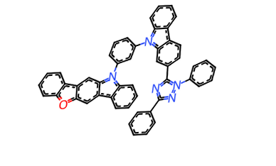 c1ccc(-c2nc(-c3ccc4c5ccccc5n(-c5cccc(-n6c7ccccc7c7cc8oc9ccccc9c8cc76)c5)c4c3)n(-c3ccccc3)n2)cc1